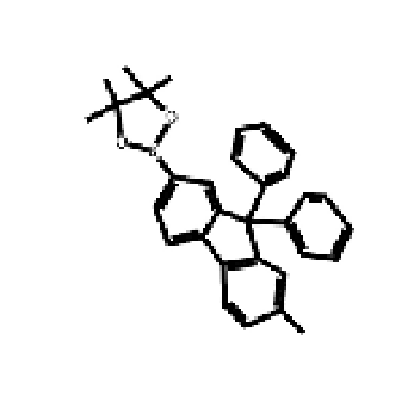 Cc1ccc2c(c1)C(c1ccccc1)(c1ccccc1)c1cc(B3OC(C)(C)C(C)(C)O3)ccc1-2